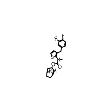 CN(C(=O)OC1CC2CCC(C1)N2)c1sccc1Cc1ccc(F)c(F)c1